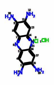 Cl.Cl.Nc1cc2nc3cc(N)c(N)cc3nc2cc1N